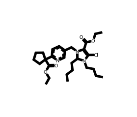 CCCCC1N(CCCC)C(Cl)=C(C(=O)OCC)N1Cc1ccc(C2(C(=O)OCC)CCCC2)nc1